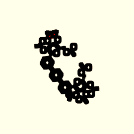 CC(=O)OC[C@H]1O[C@H](c2cccc(-c3ccc(-c4cccc([C@H]5O[C@H](COC(C)=O)[C@@H](OC(C)=O)[C@H](OC(C)=O)[C@@H]5OC(C)=O)c4)cc3)c2)[C@@H](OC(C)=O)[C@@H](OC(C)=O)[C@@H]1OC(C)=O